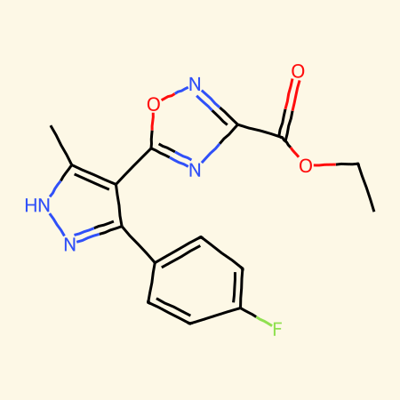 CCOC(=O)c1noc(-c2c(-c3ccc(F)cc3)n[nH]c2C)n1